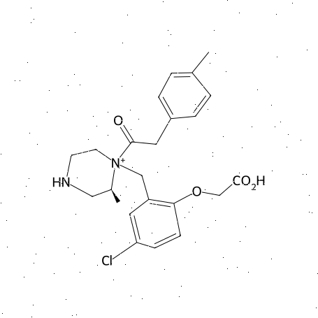 Cc1ccc(CC(=O)[N+]2(Cc3cc(Cl)ccc3OCC(=O)O)CCNC[C@@H]2C)cc1